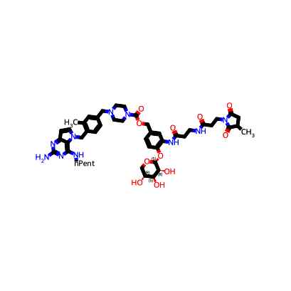 CCCCCNc1nc(N)nc2ccn(Cc3ccc(CN4CCN(C(=O)OCc5ccc(O[C@@H]6OC[C@@H](O)[C@H](O)[C@H]6O)c(NC(=O)CCNC(=O)CCN6C(=O)CC(C)C6=O)c5)CC4)cc3C)c12